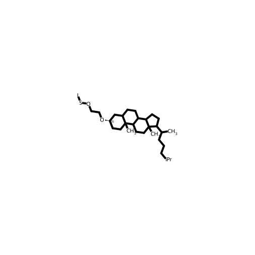 CC(C)CCCC(C)C1CCC2C3CCC4C[C@@H](OCCOSI)CCC4(C)C3CCC12C